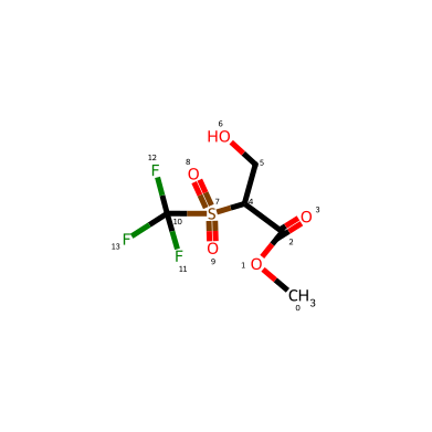 COC(=O)C(CO)S(=O)(=O)C(F)(F)F